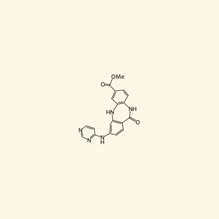 COC(=O)c1ccc2c(c1)Nc1cc(Nc3ccncn3)ccc1C(=O)N2